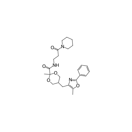 Cc1oc(-c2ccccc2)nc1CC1COC(C)(C(=O)NCCC(=O)N2CCCCC2)OC1